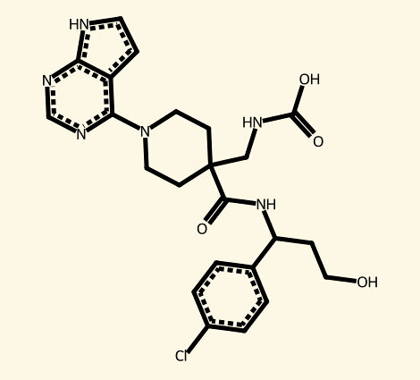 O=C(O)NCC1(C(=O)NC(CCO)c2ccc(Cl)cc2)CCN(c2ncnc3[nH]ccc23)CC1